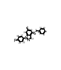 Cc1cc(SCc2ccccc2)c2cnn(-c3ccc(F)cc3)c2c1